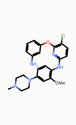 COc1cc(N2CCN(C)CC2)ccc1Nc1ccc(Cl)c(Oc2cccc(N)c2)n1